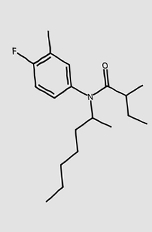 CCCCCC(C)N(C(=O)C(C)CC)c1ccc(F)c(C)c1